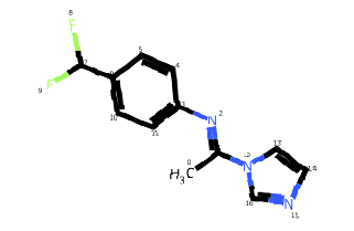 C/C(=N\c1ccc(C(F)F)cc1)n1ccnc1